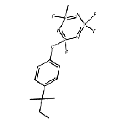 CCC(C)(C)c1ccc(OP2(F)=NP(C)(F)=NP(F)(F)=N2)cc1